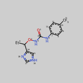 CCC(ONC(=O)Nc1ccc(C(F)(F)F)cc1)c1c[nH]cn1